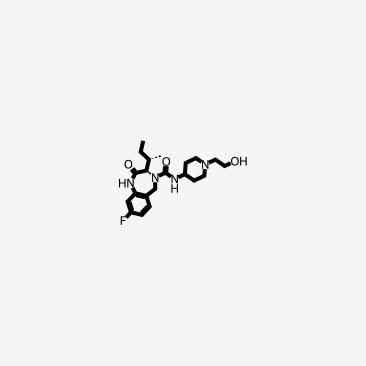 CC[C@H](C)[C@H]1C(=O)Nc2cc(F)ccc2CN1C(=O)NC1CCN(CCO)CC1